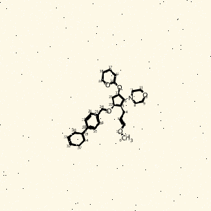 COC=CC[C@@H]1[C@@H](N2CCOCC2)[C@H](OC2CCCCO2)C[C@@H]1OCc1ccc(C2CCCCC2)cc1